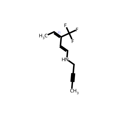 CC#CCNC=C/C(=C\C)C(F)(F)F